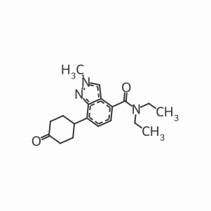 CCN(CC)C(=O)c1ccc(C2CCC(=O)CC2)c2nn(C)cc12